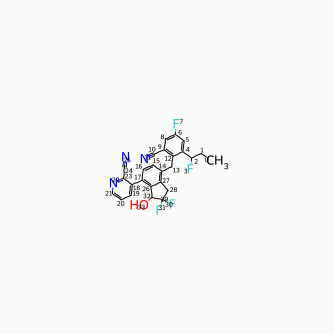 CCC(F)c1cc(F)cc(C#N)c1Cc1ccc(-c2cccnc2C#N)c2c1CC(F)(F)C2O